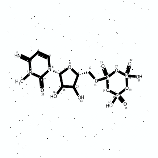 Cn1c(=N)ccn([C@@H]2O[C@H](COP3(=O)OP(=O)(O)OP(=O)(O)O3)C(O)C2O)c1=O